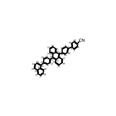 N#Cc1ccc(-c2ccc(-c3c4ccccc4c(-c4ccc(-c5cccc6ccccc56)cc4)c4ccccc34)cc2)cc1